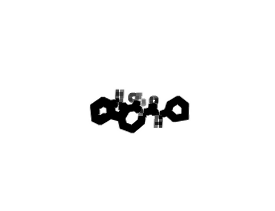 O=C(NC1CCCCC1)N1CCCc2c([nH]c3ccccc23)C1C(F)(F)F